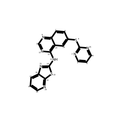 c1cnc(Sc2ccc3ncnc(Nc4nc5cccnc5s4)c3c2)nc1